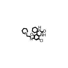 O=C1Nc2c(Cl)cc3nc(CN4CCCCC4)oc3c2C2(CCCCC2)N1